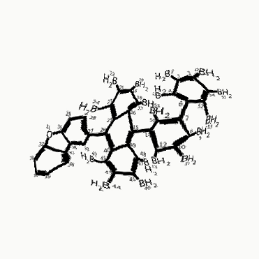 Bc1c(B)c(B)c(-c2c(B)c(B)c(B)c(-c3c4c(B)c(B)c(B)c(B)c4c(-c4ccc5oc6ccccc6c5c4)c4c(B)c(B)c(B)c(B)c34)c2B)c(B)c1B